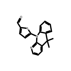 CC1(C)c2ccccc2N(c2ccc(C=O)s2)c2ncccc21